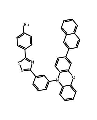 CC(C)(C)c1ccc(-c2nc(-c3cccc(N4c5ccccc5Oc5cc(-c6ccc7ccccc7c6)ccc54)c3)ns2)cc1